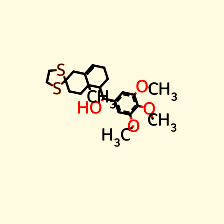 COc1cc(C(O)C2CCC=C3CC4(CCC32C)SCCS4)cc(OC)c1OC